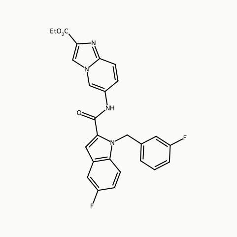 CCOC(=O)c1cn2cc(NC(=O)c3cc4cc(F)ccc4n3Cc3cccc(F)c3)ccc2n1